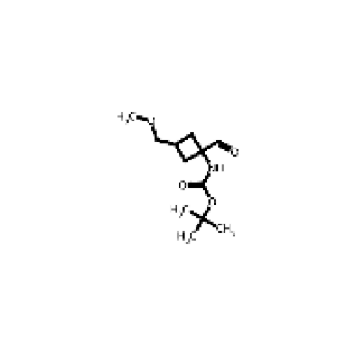 COCC1CC(C=O)(NC(=O)OC(C)(C)C)C1